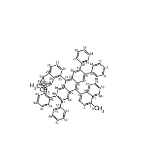 Cc1ccc(-c2c3cc(-c4ccccc4)c(-c4ccccc4)cc3c(-c3cccc4c3C3CCC4[Si]3(C)C)c3cc(-c4ccccc4)c(-c4ccccc4)cc23)c2ccccc12